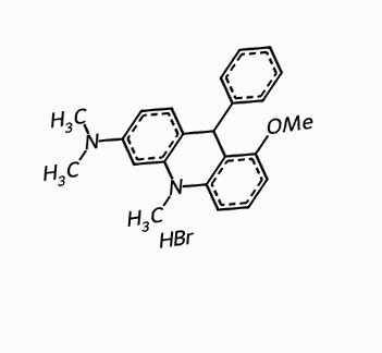 Br.COc1cccc2c1C(c1ccccc1)c1ccc(N(C)C)cc1N2C